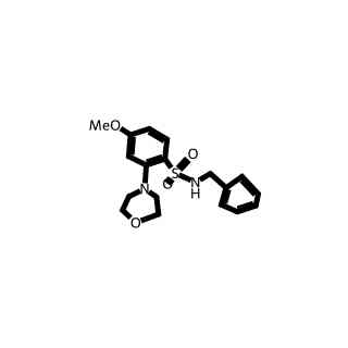 COc1ccc(S(=O)(=O)NCc2ccccc2)c(N2CCOCC2)c1